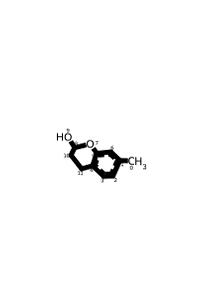 Cc1ccc2c(c1)OC(O)CC2